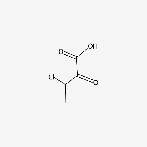 [CH2]C(Cl)C(=O)C(=O)O